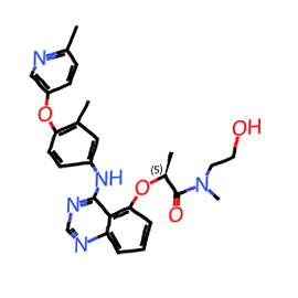 Cc1ccc(Oc2ccc(Nc3ncnc4cccc(O[C@@H](C)C(=O)N(C)CCO)c34)cc2C)cn1